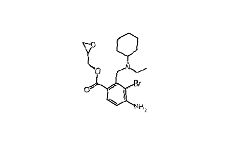 CCN(Cc1c(C(=O)OCC2CO2)ccc(N)c1Br)C1CCCCC1